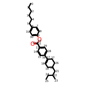 CCCCCCc1ccc(OC(=O)c2ccc(C3=CCC(CC(C)CC)CC3)cc2)cc1